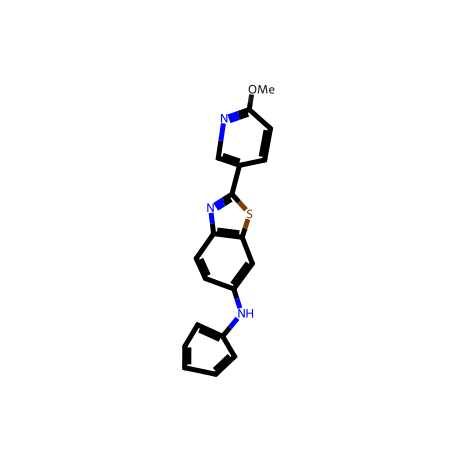 COc1ccc(-c2nc3ccc(Nc4ccccc4)cc3s2)cn1